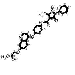 Cc1c(C(=O)Nc2ccc(Oc3ccnc4cc(OC[C@H](C)O)ccc34)cc2)c(=O)n(-c2cc#ccc2)n1C